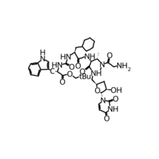 C[C@@H]([C@H](NC(=O)[C@H](CC1CCCCC1)NC(=O)N[C@@H](Cc1c[nH]c2ccccc12)C(=O)OCC(C)(C)C)C(=O)NC[C@H]1C[C@@H](O)[C@H](n2ccc(=O)[nH]c2=O)O1)N(C)C(=O)CN